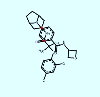 CC(C)(Oc1ccc(Cl)cc1Cl)C(=O)NC1CC2CCC(C1)N2c1ccc(C(=O)NC2COC2)cn1